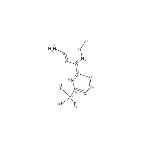 CC/N=C(\C=C\N)c1cccc(C(F)(F)F)n1